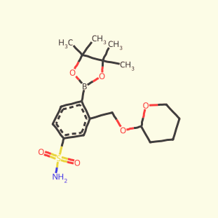 CC1(C)OB(c2ccc(S(N)(=O)=O)cc2COC2CCCCO2)OC1(C)C